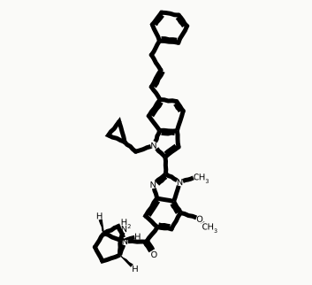 COc1cc(C(=O)N2C[C@H]3CC[C@@H]2[C@H]3N)cc2nc(-c3cc4ccc(/C=C/Cc5ccccc5)cc4n3CC3CC3)n(C)c12